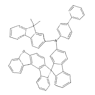 CC1(C)c2ccccc2-c2ccc(N(c3ccc(-c4ccccc4)cc3)c3ccc4c(c3)C3(c5ccccc5-4)c4ccccc4-c4c3ccc3oc5ccccc5c43)cc21